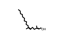 CCCCCCCCCCC(C)=CCC/C(C)=C/CO